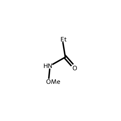 [CH2]ONC(=O)CC